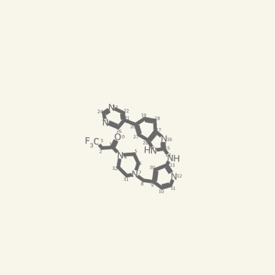 O=C(CC(F)(F)F)N1CCN(Cc2ccnc(Nc3nc4ccc(-c5cncnc5)cc4[nH]3)c2)CC1